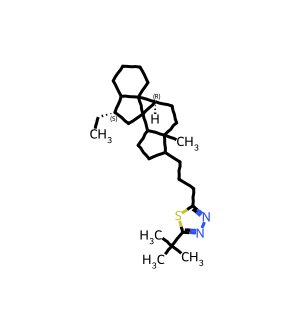 CC[C@H]1CC23C4CCC(CCCc5nnc(C(C)(C)C)s5)C4(C)CC[C@@H]2C32CCCCC12